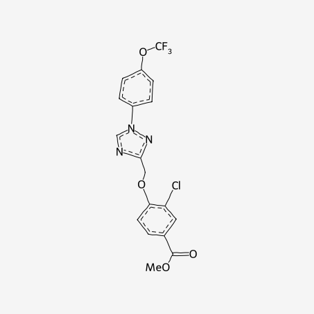 COC(=O)c1ccc(OCc2ncn(-c3ccc(OC(F)(F)F)cc3)n2)c(Cl)c1